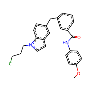 COc1ccc(NC(=O)c2cccc(Cc3ccc4c(ccn4CCCCl)c3)c2)cc1